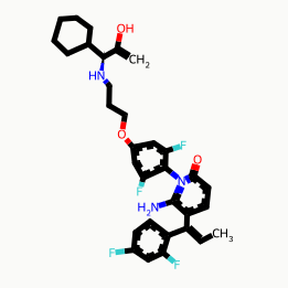 C=C(O)[C@@H](NCCCOc1cc(F)c(-n2c(N)c(/C(=C\C)c3ccc(F)cc3F)ccc2=O)c(F)c1)C1CCCCC1